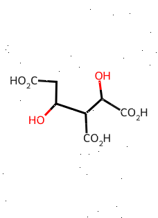 O=C(O)CC(O)C(C(=O)O)C(O)C(=O)O